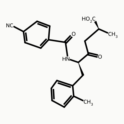 Cc1ccccc1C[C@@H](NC(=O)c1ccc(C#N)cc1)C(=O)C[C@H](C)C(=O)O